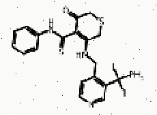 O=C1CSCC(NCc2ccncc2C(P)(I)I)=C1C(=S)Nc1ccccc1